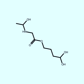 CC(O)NCC(=O)OCCCC(O)O